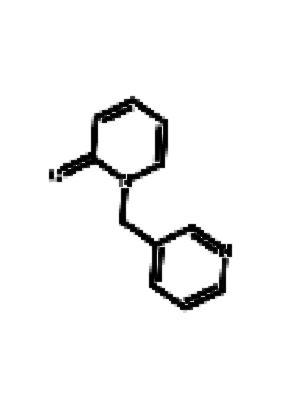 O=c1ccccn1Cc1cccnc1